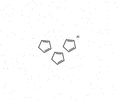 C1=CCC=C1.C1=CCC=C1.C1=CCC=C1.[Al]